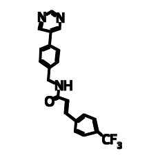 O=C(C=Cc1ccc(C(F)(F)F)cc1)NCc1ccc(-c2cncnc2)cc1